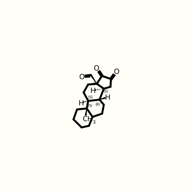 C[C@]12CCCCC1CC[C@@H]1[C@@H]2CC[C@]2(C=O)C(=O)C(=O)C[C@@H]12